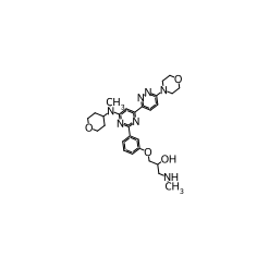 CNCC(O)COc1cccc(-c2nc(-c3ccc(N4CCOCC4)nn3)cc(N(C)C3CCOCC3)n2)c1